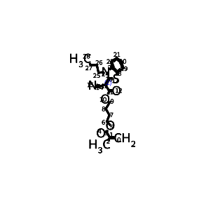 C=C(C)C(=O)OCCCCOC(=O)/C(C#N)=C1\Sc2ccccc2N1CCCC